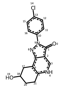 O=c1c2c[nH]c3c(c-2nn1-c1ccc(Cl)cc1)CC(O)CC3